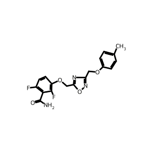 Cc1ccc(OCc2noc(COc3ccc(F)c(C(N)=O)c3F)n2)cc1